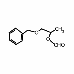 CC(COCc1ccccc1)OC=O